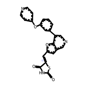 O=C1NC(=O)/C(=C/c2cc3cncc(-c4cccc(Oc5ccncc5)c4)c3o2)S1